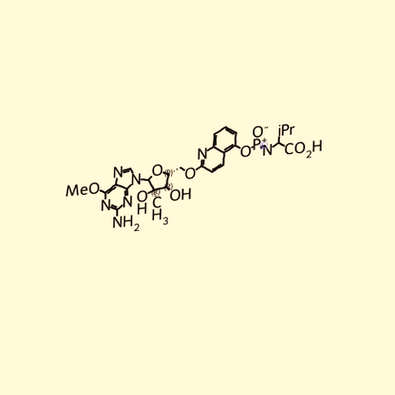 COc1nc(N)nc2c1ncn2C1O[C@H](COc2ccc3c(O/[P+]([O-])=N/C(C(=O)O)C(C)C)cccc3n2)[C@@H](O)[C@@]1(C)O